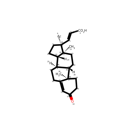 CC(=O)[C@@]1(C=CC(=O)O)CC[C@H]2[C@@H]3CCC4=CC(=O)CC[C@]4(C)[C@H]3CC[C@@]21C